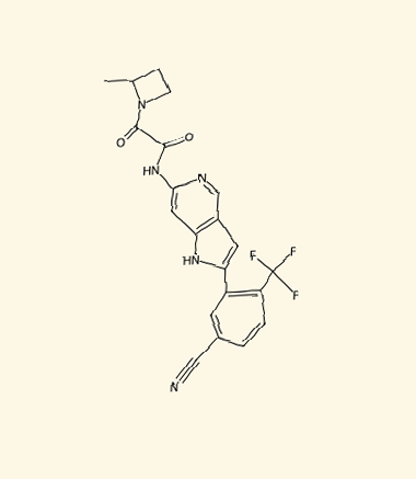 CC1CCN1C(=O)C(=O)Nc1cc2[nH]c(-c3cc(C#N)ccc3C(F)(F)F)cc2cn1